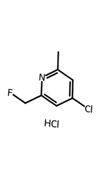 Cc1cc(Cl)cc(CF)n1.Cl